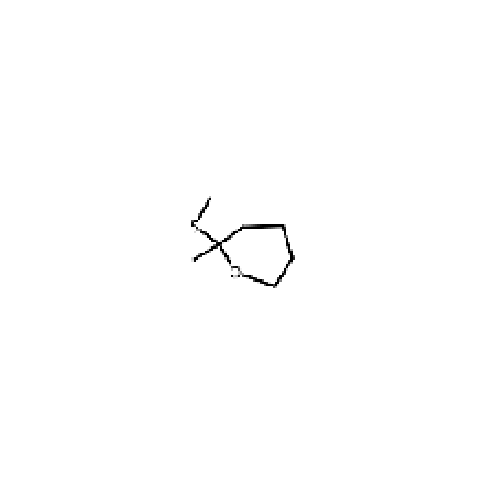 CSC1(C)CCCCO1